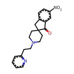 O=C1c2cc([N+](=O)[O-])ccc2CC12CCN(CCc1ccccn1)CC2